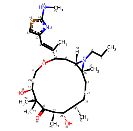 CCCN1[C@H]2C[C@@H](/C(C)=C/c3csc(NC)n3)OCC[C@H](O)C(C)(C)C(=O)[C@H](C)[C@@H](O)[C@@H](C)CCC[C@]21C